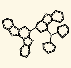 c1ccc(N(c2ccccc2)c2cc(-c3cc4c5ccccc5sc4c4c3oc3ccccc34)cc3oc4ccccc4c23)cc1